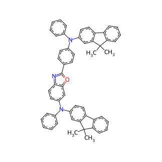 CC1(C)c2ccccc2-c2ccc(N(c3ccccc3)c3ccc(-c4nc5ccc(N(c6ccccc6)c6ccc7c(c6)C(C)(C)c6ccccc6-7)cc5o4)cc3)cc21